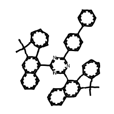 CC1(C)c2ccccc2-c2c1cc1ccccc1c2-c1nc(-c2ccc(-c3ccccc3)cc2)nc(-c2c3c(cc4ccccc24)C(C)(C)c2ccccc2-3)n1